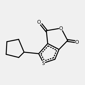 O=C1OC(=O)c2c1csc2C1CCCC1